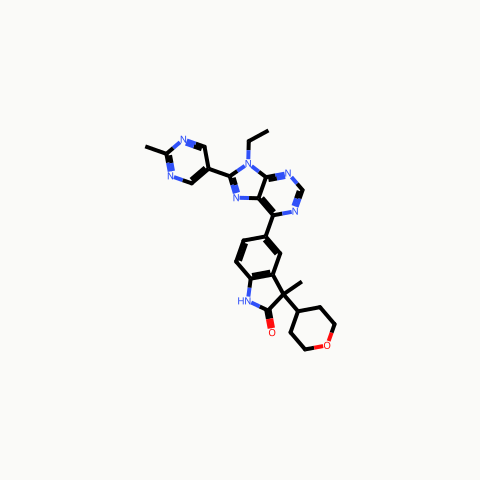 CCn1c(-c2cnc(C)nc2)nc2c(-c3ccc4c(c3)C(C)(C3CCOCC3)C(=O)N4)ncnc21